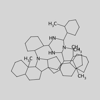 CC1CCCCC1C1NC(C2CCCCC2N2C3C(CCC4CCCCC43C)C34CCC(C5CCCC5C)(CC23)C4)NC(C2CCCC3(C)CCCCC23)N1C